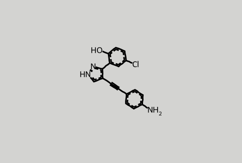 Nc1ccc(C#Cc2c[nH]nc2-c2cc(Cl)ccc2O)cc1